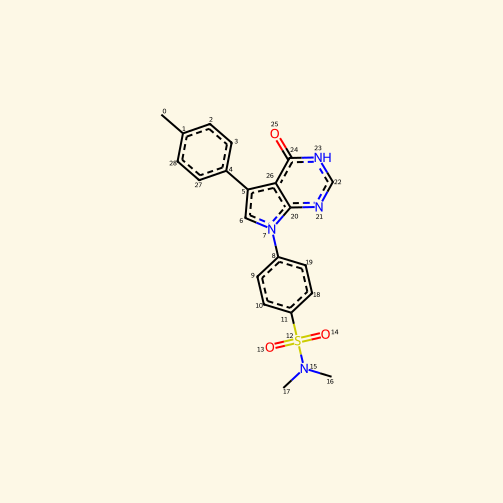 Cc1ccc(-c2cn(-c3ccc(S(=O)(=O)N(C)C)cc3)c3nc[nH]c(=O)c23)cc1